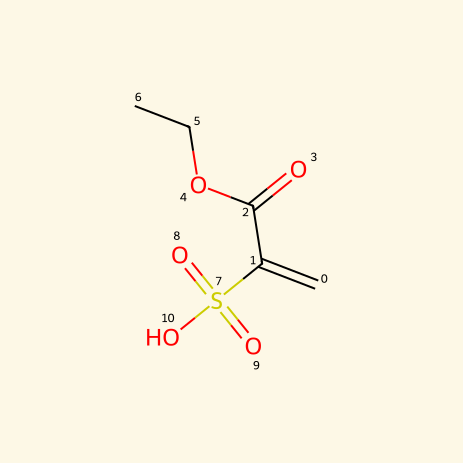 C=C(C(=O)OCC)S(=O)(=O)O